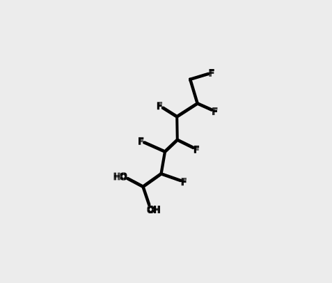 OC(O)C(F)C(F)C(F)C(F)C(F)CF